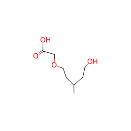 CC(CCO)CCOCC(=O)O